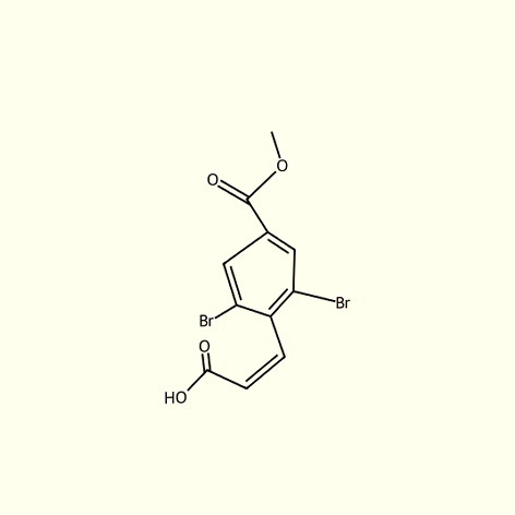 COC(=O)c1cc(Br)c(/C=C\C(=O)O)c(Br)c1